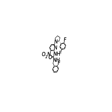 O=C(NCc1ccccc1F)Nc1nc(N2CCC[C@@H]2c2cc(F)ccc2F)ccc1[N+](=O)[O-]